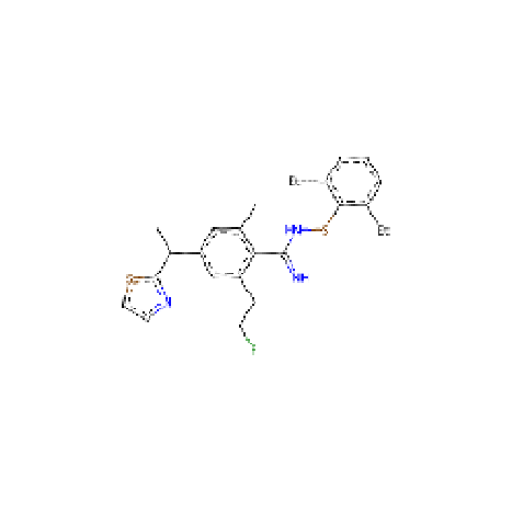 CCc1cccc(CC)c1SNC(=N)c1c(C)cc(C(C)c2nccs2)cc1CCF